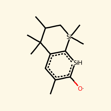 Cc1cc2c([siH]c1[O])[Si](C)(C)CC(C)C2(C)C